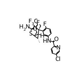 C[C@H]1[C@@H]2[C@@]1(COCC(F)(F)F)SC(N)=N[C@]2(CF)c1cc(NC(=O)c2ccc(Cl)cn2)ccc1F